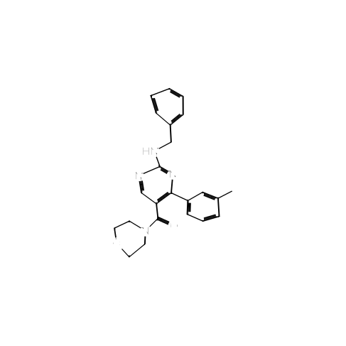 Cc1cccc(-c2nc(NCc3ccccc3)ncc2C(=O)N2CCOCC2)c1